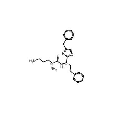 NCCC[C@@H](N)C(=O)N[C@H](CCc1ccccc1)c1nc(Cc2ccccc2)co1